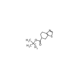 CC(C)(C)OC(=O)C1CCc2ncsc2C1